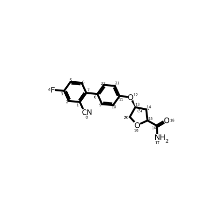 N#Cc1cc(F)ccc1-c1ccc(O[C@H]2[CH]C(C(N)=O)OC2)cc1